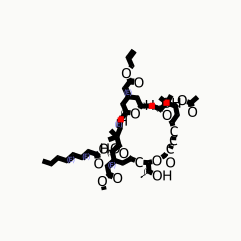 C=CCOC(=O)/C=C1\C[C@H]2C[C@]3(O)OC(CCCC(=O)OC([C@@H](C)O)CC4C/C(=C\C(=O)OC)[C@H](OC(=O)/C=C/C=C/CCC)C(O)(O4)C(C)(C)/C=C/[C@@H](C1)O2)CC(OC(C)=O)C3(C)C